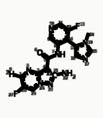 [2H]c1nc2c(C(=O)Nc3cncc(F)c3-c3cncn3C)[13c](N)nn2cc1F